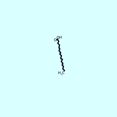 CCCC/C=C/C/C=C/C/C=C/C/C=C/CCCC(=O)O